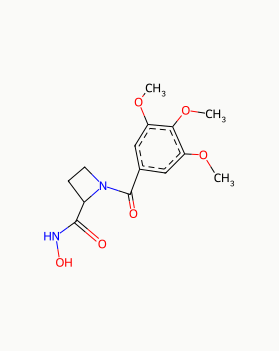 COc1cc(C(=O)N2CCC2C(=O)NO)cc(OC)c1OC